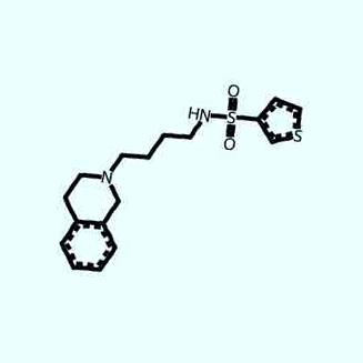 O=S(=O)(NCCCCN1CCc2ccccc2C1)c1ccsc1